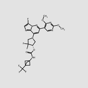 COc1ncc(-c2cc(N3C[C@H](OC(=O)NC45CC(C(F)(F)F)(C4)C5)C(F)(F)C3)c3ncc(F)n3n2)c(OC)n1